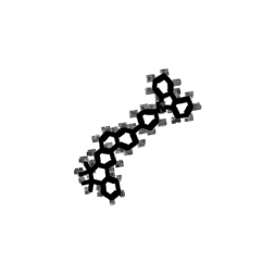 CC1(C)c2ccccc2-c2cc3c(ccc4cc(-c5ccc(-n6c7ccccc7c7ccccc76)cc5)ccc43)cc2C1(C)C